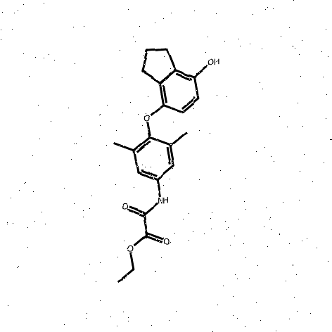 CCOC(=O)C(=O)Nc1cc(C)c(Oc2ccc(O)c3c2CCC3)c(C)c1